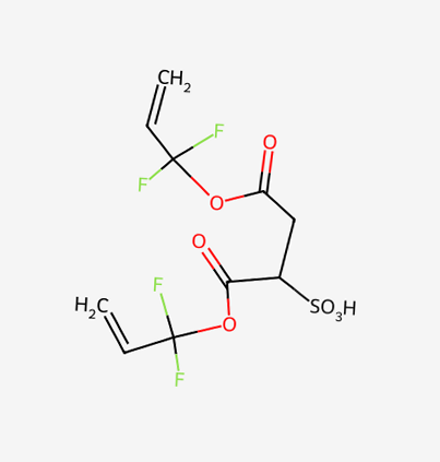 C=CC(F)(F)OC(=O)CC(C(=O)OC(F)(F)C=C)S(=O)(=O)O